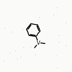 [CH3][V]([CH3])[c]1ccccc1